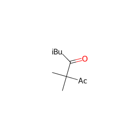 CCC(C)C(=O)C(C)(C)C(C)=O